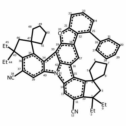 CCC1(CC)CC2(CCCC2)c2c1c(C#N)cc1c2c2cc3c(oc4cccc(-c5ccccc5)c43)c3c4c5c(c(C#N)cc4n1c23)C(CC)(CC)CC51CCCC1